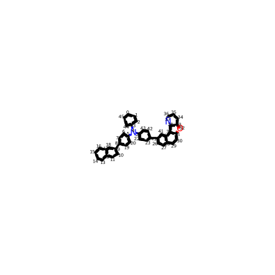 c1ccc(N(c2ccc(-c3ccc4ccccc4c3)cc2)c2ccc(-c3ccc4ccc5oc6cccnc6c5c4c3)cc2)cc1